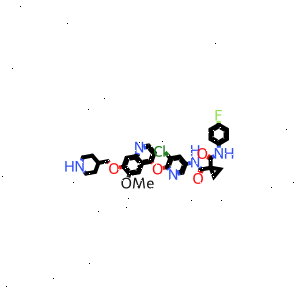 COc1cc2c(Oc3ncc(NC(=O)C4(C(=O)Nc5ccc(F)cc5)CC4)cc3Cl)ccnc2cc1OCC1CCNCC1